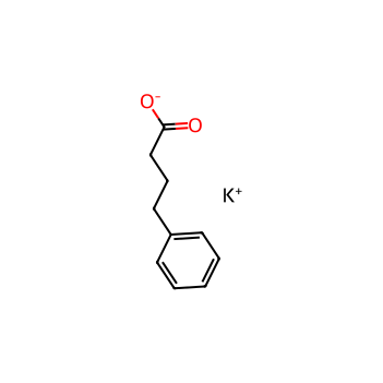 O=C([O-])CCCc1ccccc1.[K+]